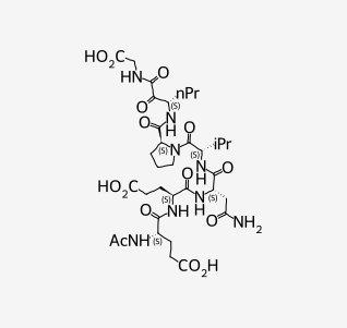 CCC[C@H](NC(=O)[C@@H]1CCCN1C(=O)[C@@H](NC(=O)[C@H](CC(N)=O)NC(=O)[C@H](CCC(=O)O)NC(=O)[C@H](CCC(=O)O)NC(C)=O)C(C)C)C(=O)C(=O)NCC(=O)O